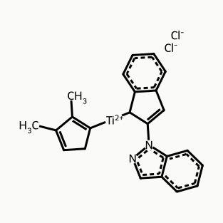 CC1=CC[C]([Ti+2][CH]2C(n3ncc4ccccc43)=Cc3ccccc32)=C1C.[Cl-].[Cl-]